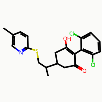 Cc1ccc(SCC(C)C2CC(=O)C(c3c(Cl)cccc3Cl)=C(O)C2)nc1